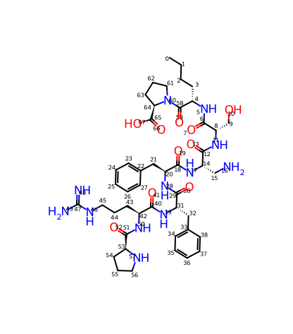 CCCC[C@H](NC(=O)[C@H](CO)NC(=O)[C@H](CN)NC(=O)[C@H](Cc1ccccc1)NC(=O)[C@H](Cc1ccccc1)NC(=O)[C@H](CCCNC(=N)N)NC(=O)[C@@H]1CCCN1)C(=O)N1CCC[C@@H]1C(=O)O